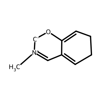 C[N+]1=CC2=CCCC=C2O[CH-]1